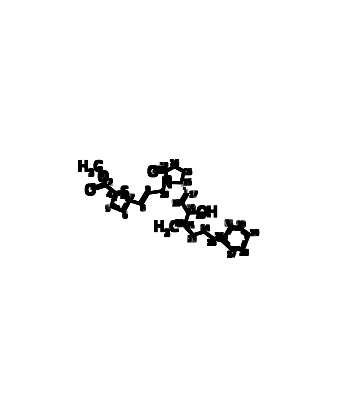 COC(=O)c1ccc(C=CCN2C(=O)CC[C@@H]2C=C[C@@H](O)[C@@H](C)CCCc2ccccc2)s1